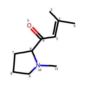 CC(C)=CC(=O)C1CCCN1C